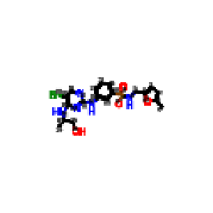 Cc1ccc(CNS(=O)(=O)c2cccc(Nc3ncc(Br)c(N[C@H](C)CO)n3)c2)o1